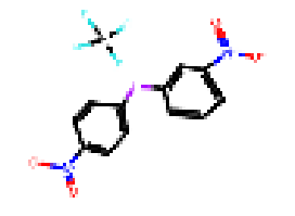 F[B-](F)(F)F.O=[N+]([O-])c1ccc([I+]c2cccc([N+](=O)[O-])c2)cc1